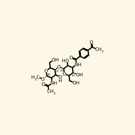 CO[C@@H]1OC(CO)[C@@H](O[C@@H]2OC(CO)[C@H](O)C(NC(=O)c3ccc(C(C)=O)cc3)C2O)C(O)C1NC(C)=O